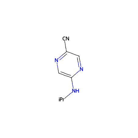 CC(C)Nc1cnc(C#N)cn1